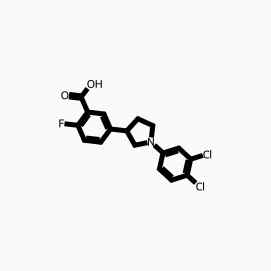 O=C(O)c1cc(C2CCN(c3ccc(Cl)c(Cl)c3)C2)ccc1F